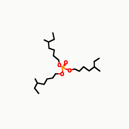 CCC(C)CCCCOP(=O)(OCCCCC(C)CC)OCCCCC(C)CC